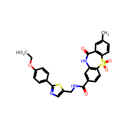 Cc1ccc2c(c1)C(=O)Nc1cc(C(=O)NCc3cnc(-c4ccc(OCC(=O)O)cc4)s3)ccc1S2(=O)=O